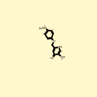 CC(=O)Nc1ccc(SCc2cc(=O)c(O)c[nH]2)cc1